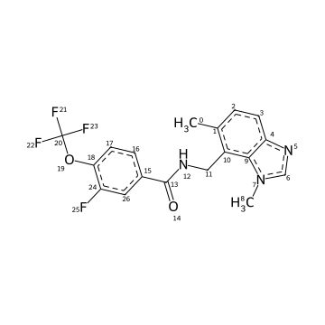 Cc1ccc2ncn(C)c2c1CNC(=O)c1ccc(OC(F)(F)F)c(F)c1